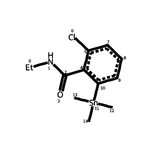 CCNC(=O)c1c(Cl)ccc[c]1[Sn]([CH3])([CH3])[CH3]